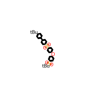 CC(C)(C)c1ccc(-c2ccc(S(=O)(=O)c3ccc(Oc4ccc(S(=O)(=O)C(C)(C)C)cc4)cc3)cc2)cc1